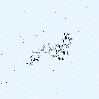 CN1CCN(Cc2ccc(-c3nn(C4CCCN(C#N)C4)c(N)c3C(N)=O)cc2)CC1